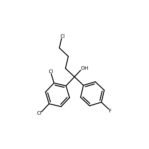 OC(CCCCl)(c1ccc(F)cc1)c1ccc(Cl)cc1Cl